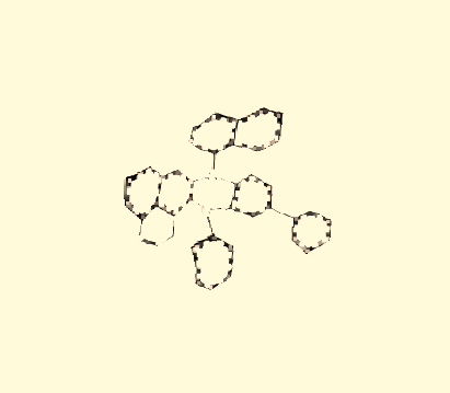 C1=Cc2cccc3cc4c(c(c23)C1)N(c1ccccc1)c1cc(-c2ccccc2)ccc1N4c1cccc2ccccc12